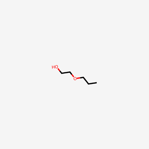 CCCOCCO